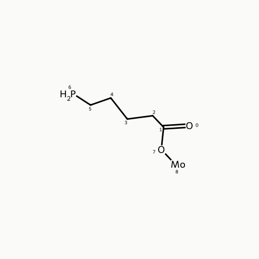 O=C(CCCCP)[O][Mo]